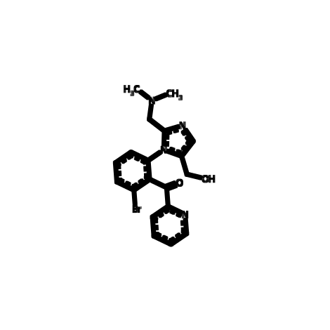 CN(C)Cc1ncc(CO)n1-c1cccc(Br)c1C(=O)c1ccccn1